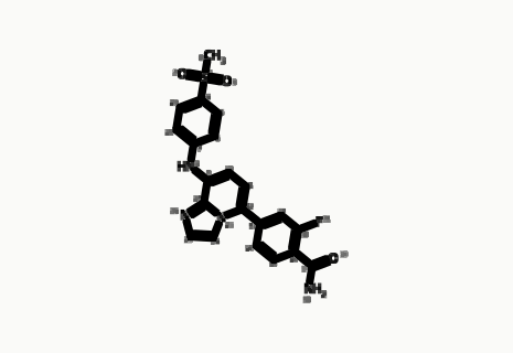 CS(=O)(=O)c1ccc(Nc2ccc(-c3ccc(C(N)=O)c(F)c3)n3ccnc23)cc1